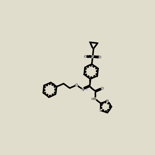 O=C(Nc1nccs1)/C(=N/OCCc1ccccc1)c1ccc(S(=O)(=O)C2CC2)cc1